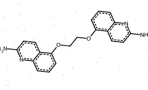 Nc1ccc2c(OCCOc3cccc4nc(N)ccc34)cccc2n1